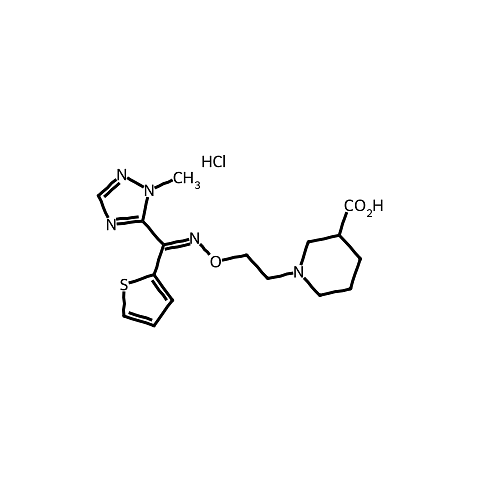 Cl.Cn1ncnc1C(=NOCCN1CCCC(C(=O)O)C1)c1cccs1